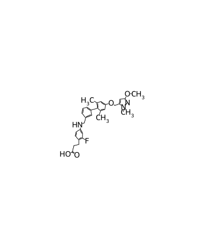 COc1cc(COc2cc(C)c(-c3cccc(CNc4ccc(CCC(=O)O)c(F)c4)c3)c(C)c2)n(C)n1